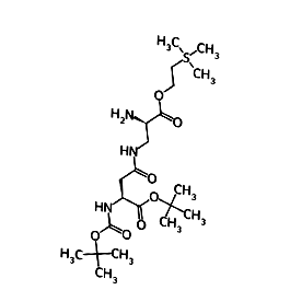 CC(C)(C)OC(=O)N[C@@H](CC(=O)NC[C@@H](N)C(=O)OCCS(C)(C)C)C(=O)OC(C)(C)C